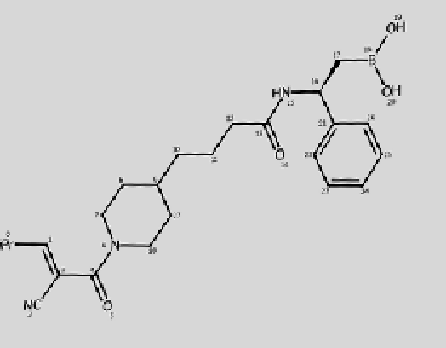 CC(C)C=C(C#N)C(=O)N1CCC(CCCC(=O)N[C@@H](CB(O)O)c2ccccc2)CC1